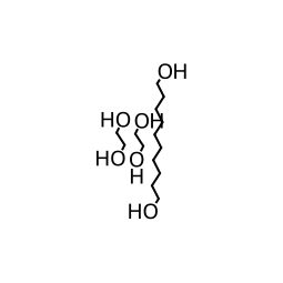 OCCCCCCCCCCO.OCCO.OCCO